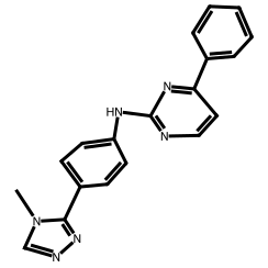 Cn1cnnc1-c1ccc(Nc2nccc(-c3ccccc3)n2)cc1